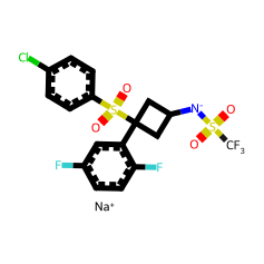 O=S(=O)([N-]C1CC(c2cc(F)ccc2F)(S(=O)(=O)c2ccc(Cl)cc2)C1)C(F)(F)F.[Na+]